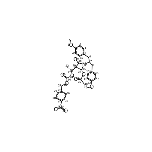 COc1ccc(CC(Cc2ccc(OC)cc2)N2C(=O)[C@H]([C@@H](C)OC(=O)OCc3ccc([N+](=O)[O-])cc3)[C@H]2OC(C)=O)cc1